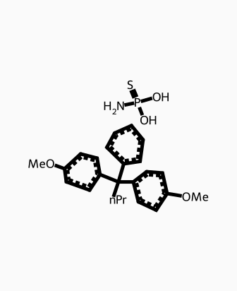 CCCC(c1ccccc1)(c1ccc(OC)cc1)c1ccc(OC)cc1.NP(O)(O)=S